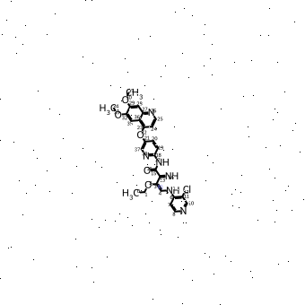 CCO/C(=C/Nc1ccncc1Cl)C(=N)C(=O)Nc1ccc(Oc2ccnc3cc(OC)c(OC)cc23)cn1